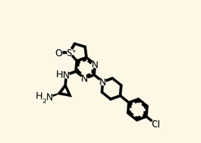 N[C@@H]1CC1Nc1nc(N2CCC(c3ccc(Cl)cc3)CC2)nc2c1[S+]([O-])CC2